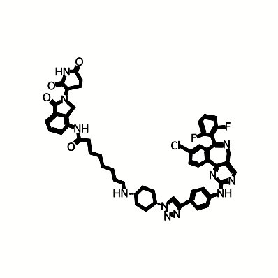 O=C1CCC(N2Cc3c(NC(=O)CCCCCCCN[C@H]4CC[C@@H](n5cc(-c6ccc(Nc7ncc8c(n7)-c7ccc(Cl)cc7C(c7c(F)cccc7F)=NC8)cc6)nn5)CC4)cccc3C2=O)C(=O)N1